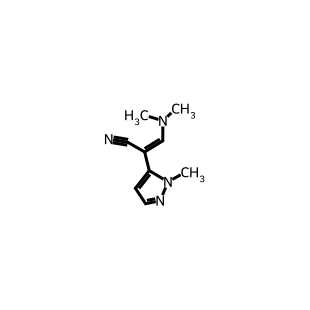 CN(C)C=C(C#N)c1ccnn1C